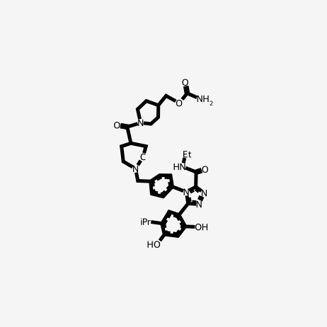 CCNC(=O)c1nnc(-c2cc(C(C)C)c(O)cc2O)n1-c1ccc(CN2CCC(C(=O)N3CCC(COC(N)=O)CC3)CC2)cc1